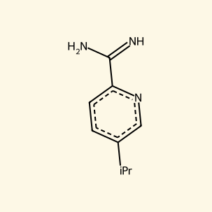 CC(C)c1ccc(C(=N)N)nc1